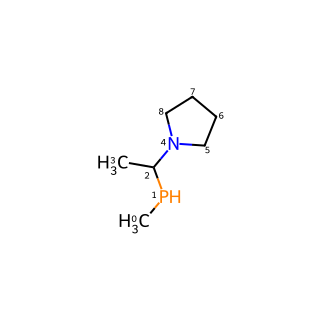 CPC(C)N1CCCC1